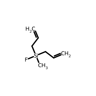 C=CC[Si](C)(F)CC=C